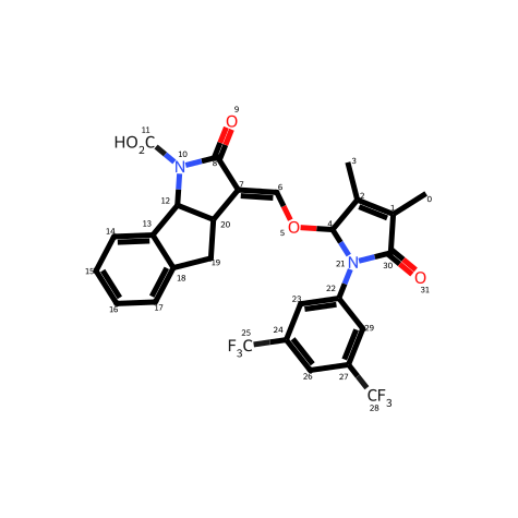 CC1=C(C)C(OC=C2C(=O)N(C(=O)O)C3c4ccccc4CC23)N(c2cc(C(F)(F)F)cc(C(F)(F)F)c2)C1=O